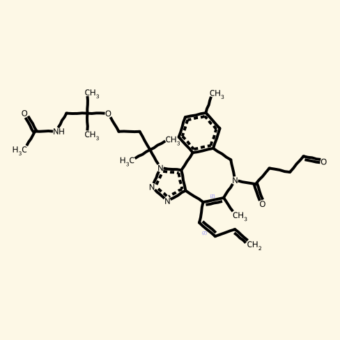 C=C/C=C\C1=C(/C)N(C(=O)CCC=O)Cc2cc(C)ccc2-c2c1nnn2C(C)(C)CCOC(C)(C)CNC(C)=O